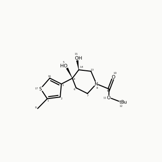 Cc1cc([C@@]2(O)CCN(C(=O)OC(C)(C)C)C[C@@H]2O)cs1